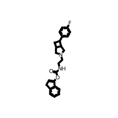 O=C(NCCN1CC2CC(c3ccc(F)cc3)C2C1)OC1=CCc2ccccc21